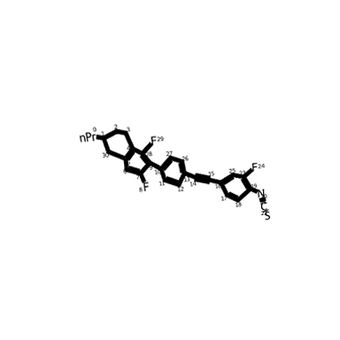 CCCC1CCc2c(cc(F)c(-c3ccc(C#Cc4ccc(N=C=S)c(F)c4)cc3)c2F)C1